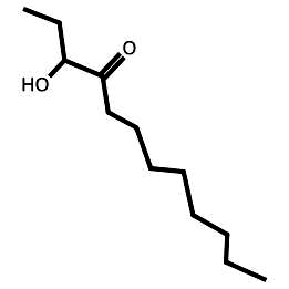 CCCCCCCCC(=O)C(O)CC